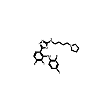 Fc1cc(I)ccc1Nc1c(-c2nnc(NCCCCN3CCCC3)o2)ccc(F)c1F